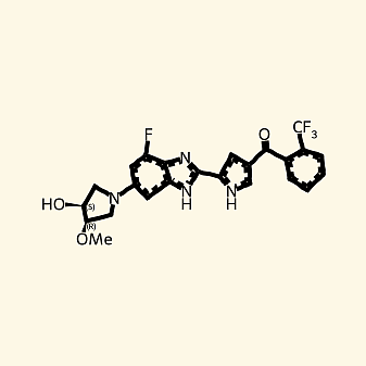 CO[C@@H]1CN(c2cc(F)c3nc(-c4cc(C(=O)c5ccccc5C(F)(F)F)c[nH]4)[nH]c3c2)C[C@@H]1O